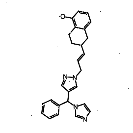 [O]c1cccc2c1CCC(C=CCn1cc(C(c3ccccc3)n3ccnc3)cn1)C2